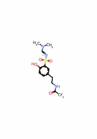 CN(C)/C=N/S(=O)(=O)c1cc(CCNC(=O)C(F)(F)F)ccc1O